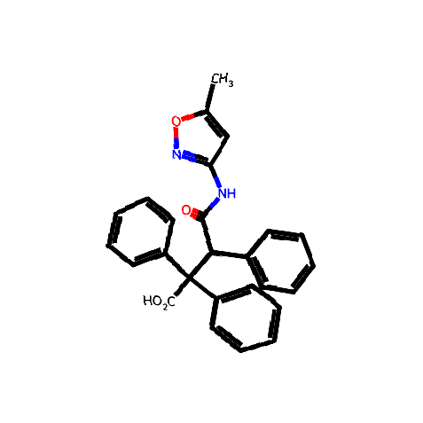 Cc1cc(NC(=O)C(c2ccccc2)C(C(=O)O)(c2ccccc2)c2ccccc2)no1